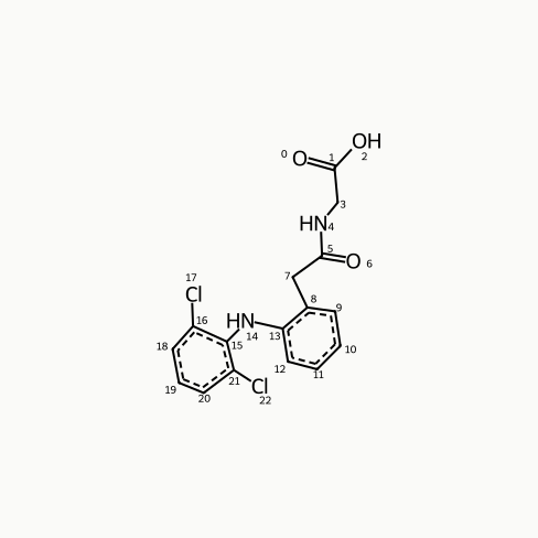 O=C(O)CNC(=O)Cc1ccccc1Nc1c(Cl)cccc1Cl